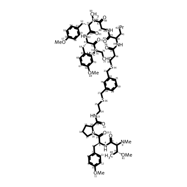 CNC(C(=O)N[C@@H](Cc1ccc(OC)cc1)C(=O)N1CCCC1C(=O)NCCSCc1cccc(CSCCC(=O)NC(CC(C)C)C(=O)NCC(=O)N(C)[C@@H](Cc2ccc(OC)cc2)C(=O)N[C@@H](Cc2ccc(OC)cc2)C(=O)N(C)CC=O)c1)[C@@H](C)OC